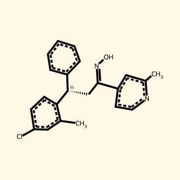 Cc1cc(C(C[C@@H](c2ccccc2)c2ccc(Cl)cc2C)=NO)ccn1